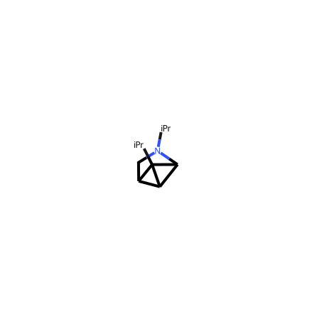 CC(C)N1CC2C3C1C23C(C)C